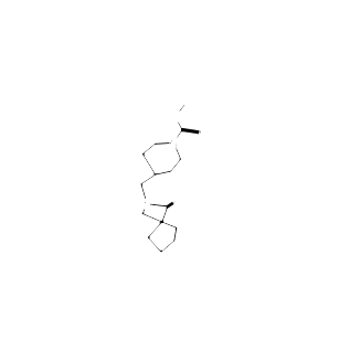 CC(C)(C)OC(=O)N1CCC(CN2CC3(CCCC3)C2=O)CC1